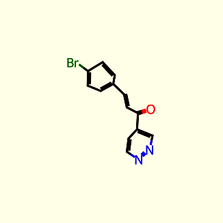 O=C(/C=C/c1ccc(Br)cc1)c1ccnnc1